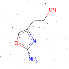 Nc1nc(CCO)co1